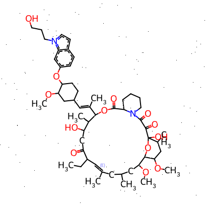 CCC1/C=C(\C)CC(C)CC(OC)C2OC(O)(C(=O)C(=O)N3CCCCC3C(=O)OC(C(C)=CC3CCC(Oc4ccc5ccn(CCCO)c5c4)C(OC)C3)C(C)C(O)CC1=O)C(C)CC2OC